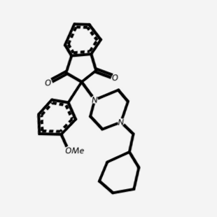 COc1cccc(C2(N3CCN(CC4CCCCC4)CC3)C(=O)c3ccccc3C2=O)c1